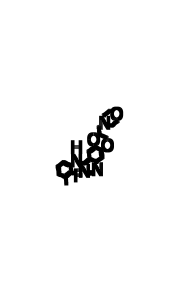 Cc1cccc(Nc2ncnc3cc4c(cc23)OC(CN2CCOCC2)CO4)c1F